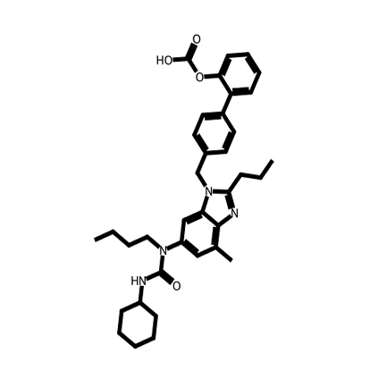 CCCCN(C(=O)NC1CCCCC1)c1cc(C)c2nc(CCC)n(Cc3ccc(-c4ccccc4OC(=O)O)cc3)c2c1